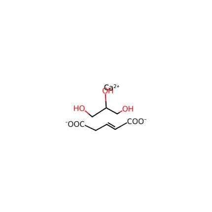 O=C([O-])C=CCC(=O)[O-].OCC(O)CO.[Ca+2]